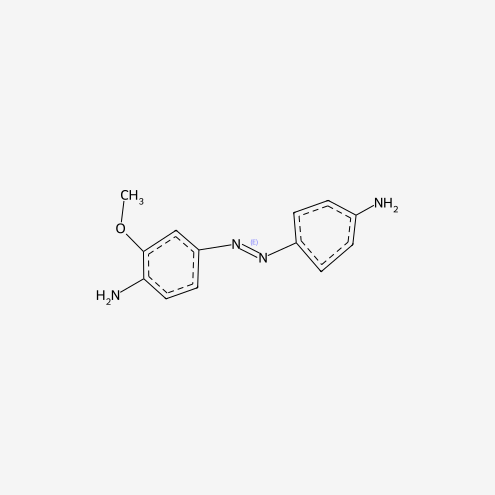 COc1cc(/N=N/c2ccc(N)cc2)ccc1N